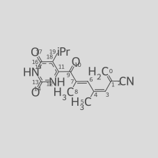 C=C(C#N)/C=C(C)\C=C(/C)C(=O)c1[nH]c(=O)[nH]c(=O)c1C(C)C